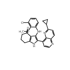 COc1c(Cl)cccc1Nc1c(-c2ccnc3ccc(C4CC4)nc23)[nH]c2c1C(=O)CCC2